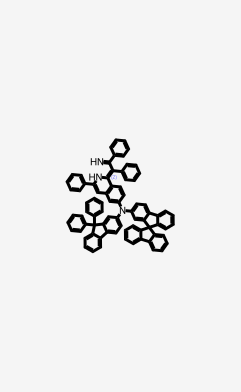 N=C(/C(=C1\NC(c2ccccc2)=Cc2cc(N(c3ccc4c(c3)C(c3ccccc3)(c3ccccc3)c3ccccc3-4)c3ccc4c(c3)C3(c5ccccc5-c5ccccc53)c3ccccc3-4)ccc21)c1ccccc1)c1ccccc1